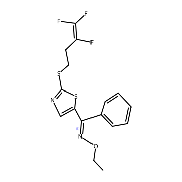 CCO/N=C(\c1ccccc1)c1cnc(SCCC(F)=C(F)F)s1